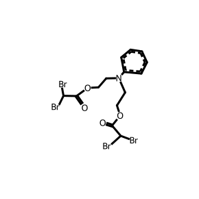 O=C(OCCN(CCOC(=O)C(Br)Br)c1ccccc1)C(Br)Br